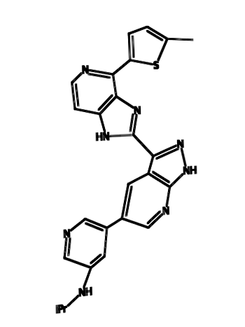 Cc1ccc(-c2nccc3[nH]c(-c4n[nH]c5ncc(-c6cncc(NC(C)C)c6)cc45)nc23)s1